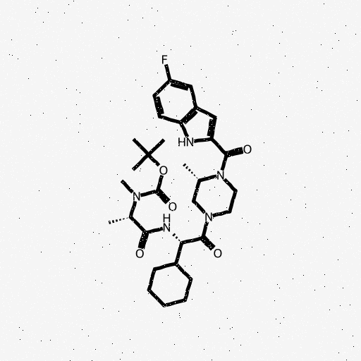 C[C@@H](C(=O)N[C@H](C(=O)N1CCN(C(=O)c2cc3cc(F)ccc3[nH]2)[C@@H](C)C1)C1CCCCC1)N(C)C(=O)OC(C)(C)C